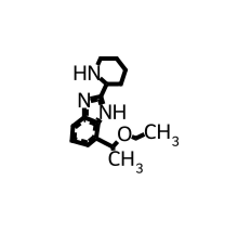 CCOC(C)c1cccc2nc(C3CCCCN3)[nH]c12